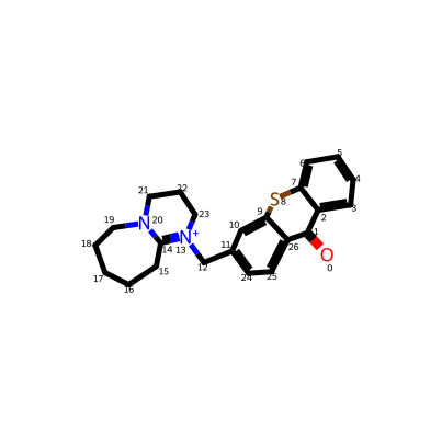 O=c1c2ccccc2sc2cc(C[N+]3=C4CCCCCN4CCC3)ccc12